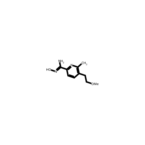 COCCc1ccc(C(N)=NO)nc1C